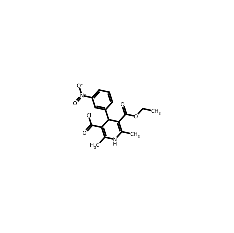 CCOC(=O)C1=C(C)NC(C)=C(C(=O)Cl)C1c1cccc([N+](=O)[O-])c1